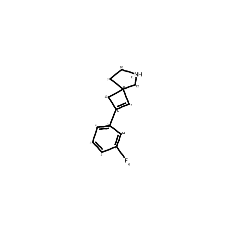 Fc1cccc(C2=CC3(CCNC3)C2)c1